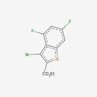 CCOC(=O)c1sc2cc(F)cc(F)c2c1Br